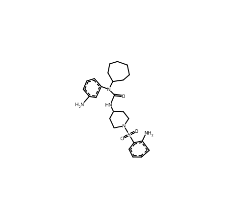 Nc1cccc(N(C(=O)NC2CCN(S(=O)(=O)c3ccccc3N)CC2)C2CCCCCC2)c1